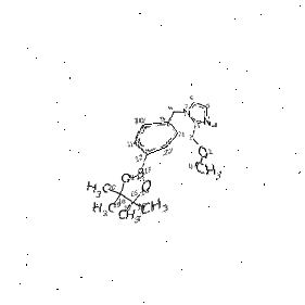 COCc1nccn1Cc1ccc(B2OC(C)(C)C(C)(C)O2)cc1